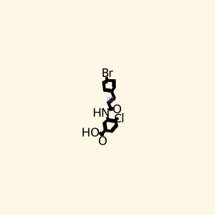 O=C(/C=C/c1ccc(Br)cc1)Nc1cc(C(=O)O)ccc1Cl